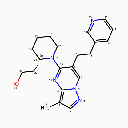 Cc1cnn2cc(CCc3cccnc3)c(N3CCCC[C@H]3CCO)nc12